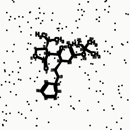 CC(C)[C@H]1COC(=O)N1C(=O)[C@H](CCc1ccccc1)CC(=O)OC(C)(C)C